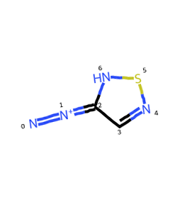 [N-]=[N+]=c1cns[nH]1